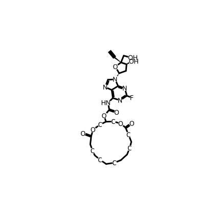 C#C[C@]1(CO)O[C@@H](n2cnc3c(NC(=O)OC4COC(=O)CCCCCCCCCCCC(=O)OC4)nc(F)nc32)C[C@@H]1O